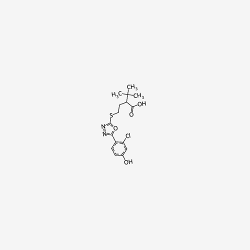 CC(C)(C)C(CCSc1nnc(-c2ccc(O)cc2Cl)o1)C(=O)O